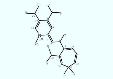 CC(C)C1=C/C(=C\C(C)C2=CC=CC(C)(C)C=C2C(C)C)N(C)C=C1C(C)C